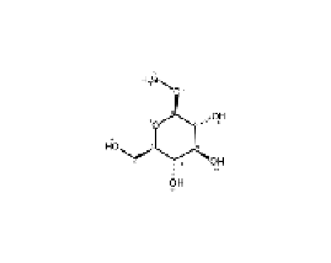 OC[C@H]1O[C@@H](O[SiH3])[C@H](O)[C@@H](O)[C@@H]1O